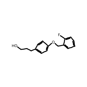 OCCCc1ccc(OCc2ccccc2F)cc1